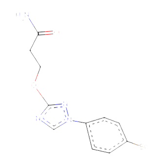 NC(=O)CCOc1ncn(-c2ccc(Br)cc2)n1